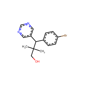 CC(C)(CO)C(c1ccc(Br)cc1)c1cncnc1